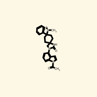 CC(=O)n1ccc2c(N3CC4(CCC(c5ccccc5)(N(C)C)CC4)NC3=O)cccc21